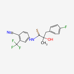 CC(O)(Cc1ccc(F)cc1)C(=S)Nc1ccc(C#N)c(C(F)(F)F)c1